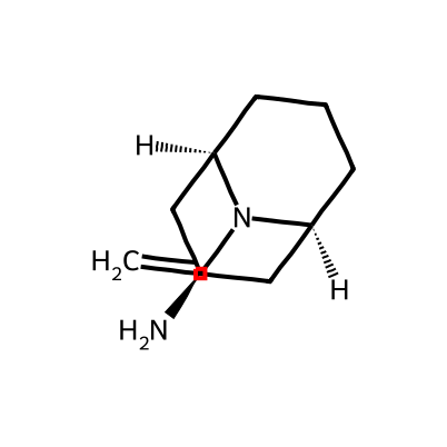 C=CN1[C@@H]2CCC[C@H]1C[C@@H](N)C2